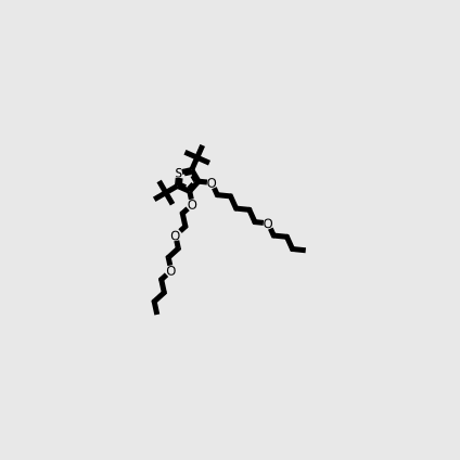 CCCCOCCCCCOc1c(C(C)(C)C)sc(C(C)(C)C)c1OCCOCCOCCCC